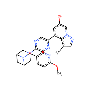 COc1ccc(CN2C3CC2CN(c2cnc(-c4cc(O)cn5ncc(C)c45)cn2)C3)cn1